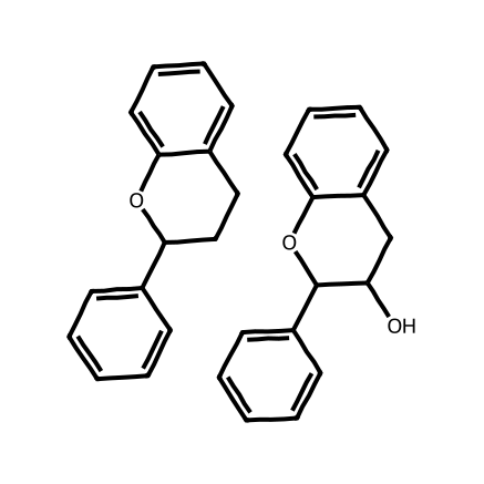 OC1Cc2ccccc2OC1c1ccccc1.c1ccc(C2CCc3ccccc3O2)cc1